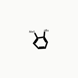 [CH2]CCCc1ccccc1SC